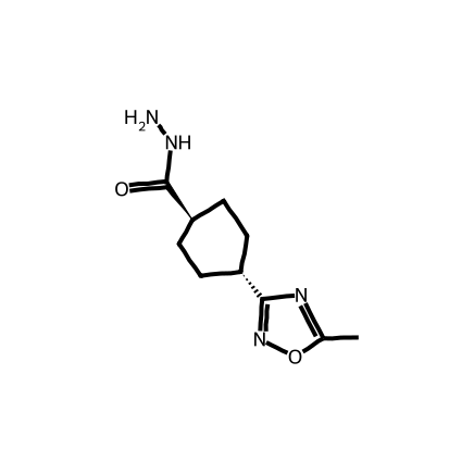 Cc1nc([C@H]2CC[C@H](C(=O)NN)CC2)no1